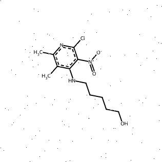 Cc1nc(Cl)c([N+](=O)[O-])c(NCCCCCO)c1C